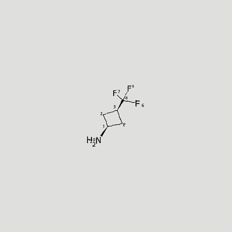 N[C@H]1C[C@@H](C(F)(F)F)C1